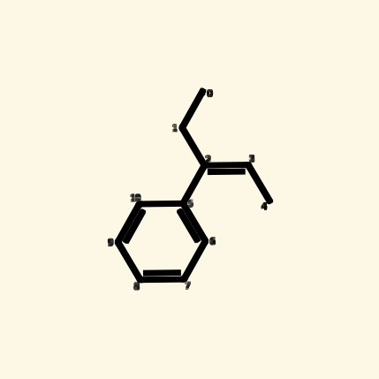 [CH2]C/C(=C/C)c1ccccc1